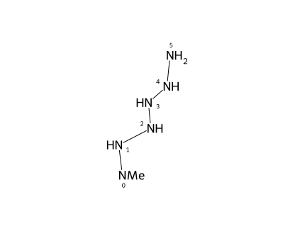 CNNNNNN